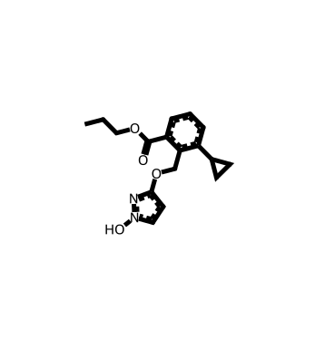 CCCOC(=O)c1cccc(C2CC2)c1COc1ccn(O)n1